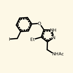 CCc1c(CNC(C)=O)n[nH]c1Oc1cccc(CI)c1